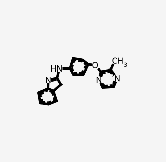 Cc1nccnc1Oc1ccc(NC2=Nc3ccccc3C2)cc1